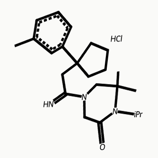 Cc1cccc(C2(CC(=N)N3CC(=O)N(C(C)C)C(C)(C)C3)CCCC2)c1.Cl